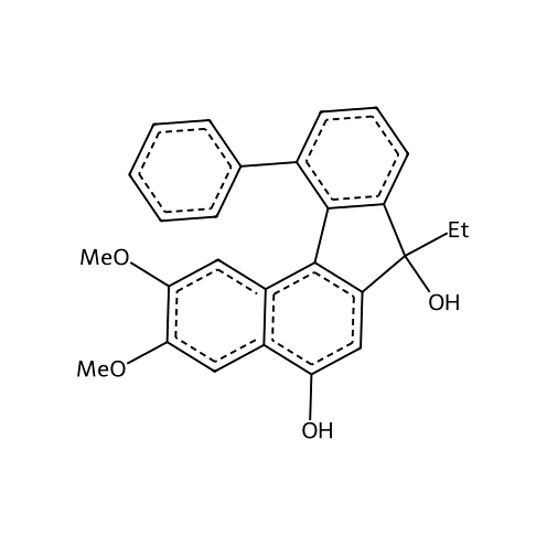 CCC1(O)c2cccc(-c3ccccc3)c2-c2c1cc(O)c1cc(OC)c(OC)cc21